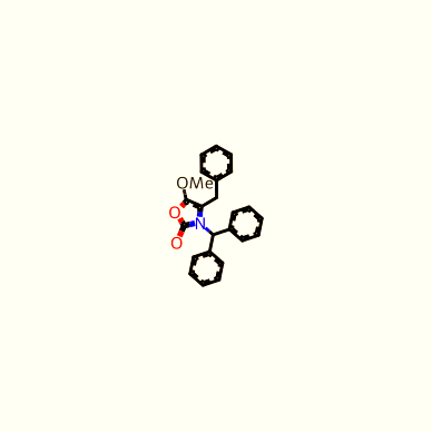 COc1oc(=O)n(C(c2ccccc2)c2ccccc2)c1Cc1ccccc1